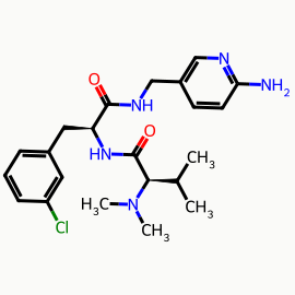 CC(C)[C@H](C(=O)N[C@@H](Cc1cccc(Cl)c1)C(=O)NCc1ccc(N)nc1)N(C)C